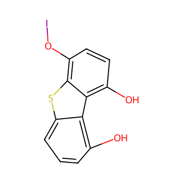 Oc1cccc2sc3c(OI)ccc(O)c3c12